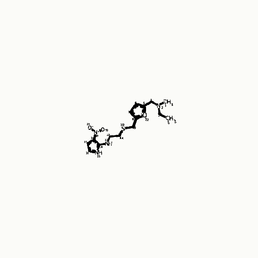 CCN(C)Cc1ccc(CSCCNc2[nH]ccc2[N+](=O)[O-])o1